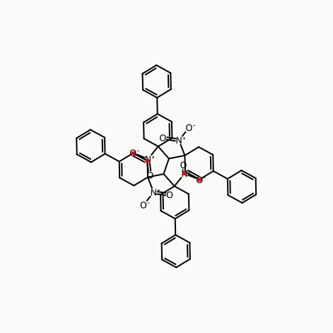 O=[N+]([O-])C1(C(C(C2([N+](=O)[O-])C=CC(c3ccccc3)=CC2)C2([N+](=O)[O-])C=CC(c3ccccc3)=CC2)C2([N+](=O)[O-])C=CC(c3ccccc3)=CC2)C=CC(c2ccccc2)=CC1